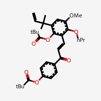 C=CC(C)(C)c1cc(OC)c(OCCC)c(C=CC(=O)c2ccc(OC(=O)C(C)(C)C)cc2)c1OC(=O)C(C)(C)C